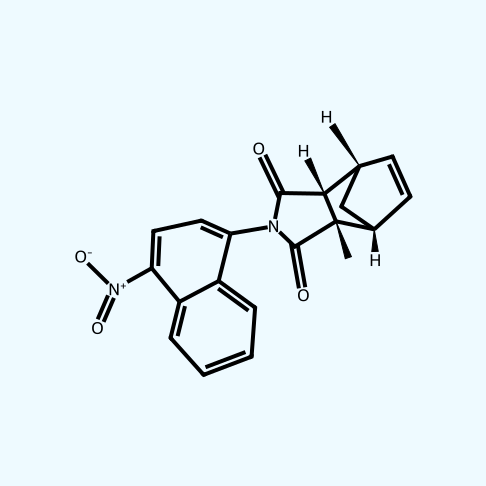 C[C@@]12C(=O)N(c3ccc([N+](=O)[O-])c4ccccc34)C(=O)[C@@H]1[C@@H]1C=C[C@H]2C1